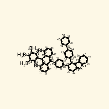 Bc1c(B)c(B)c(-c2c3ccccc3c(-c3ccc(-c4ccc5sc6ccccc6c5c4-c4ccc(-c5ccccc5)cc4)cc3)c3ccccc23)c(B)c1B